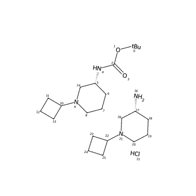 CC(C)(C)OC(=O)N[C@@H]1CCCN(C2CCC2)C1.Cl.N[C@@H]1CCCN(C2CCC2)C1